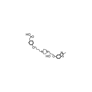 Cc1nc2cc(OC[C@H](O)CN3CCN(CCCCOc4ccc(CC(=O)O)cc4)CC3)ccc2s1